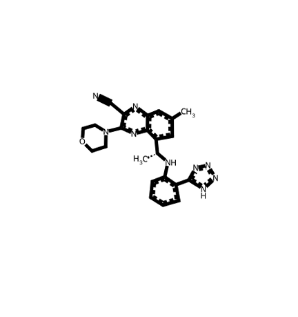 Cc1cc([C@@H](C)Nc2ccccc2-c2nnn[nH]2)c2nc(N3CCOCC3)c(C#N)nc2c1